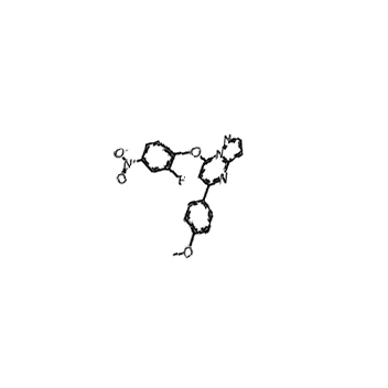 COc1ccc(-c2cc(Oc3ccc([N+](=O)[O-])cc3F)n3nccc3n2)cc1